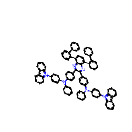 c1ccc(-c2ccccc2-c2ccc(-c3ccccc3-c3ccccc3)c3nc(-c4ccc(N(c5ccccc5)c5ccc(-n6c7ccccc7c7ccccc76)cc5)cc4)c(-c4ccc(N(c5ccccc5)c5ccc(-n6c7ccccc7c7ccccc76)cc5)cc4)nc23)cc1